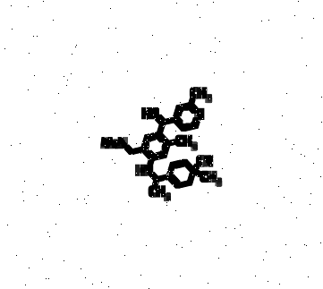 CNCc1cc(C(=N)c2ccnc(C)c2)c(C)cc1NC(C)C1=CCC(C)(C#N)C=C1